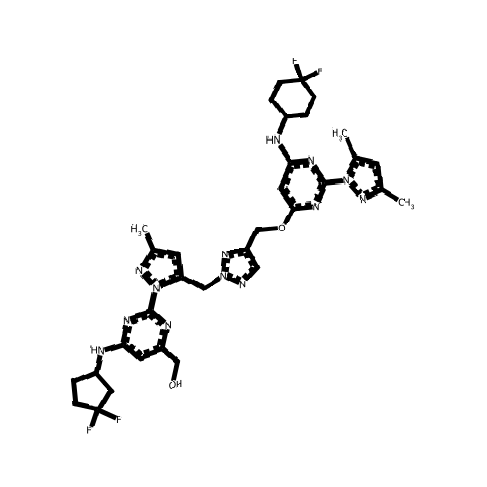 Cc1cc(C)n(-c2nc(NC3CCC(F)(F)CC3)cc(OCc3cnn(Cc4cc(C)nn4-c4nc(CO)cc(NC5CCC(F)(F)C5)n4)n3)n2)n1